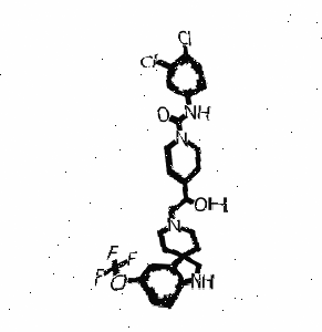 O=C(Nc1ccc(Cl)c(Cl)c1)N1CCC(C(O)CN2CCC3(CC2)CNc2ccc(OC(F)(F)F)cc23)CC1